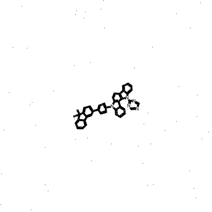 CC1(C)c2ccccc2-c2cc(-c3ccc(-n4c5ccccc5c5c4ccc4c6ccccc6n(-c6ncncn6)c45)cc3)ccc21